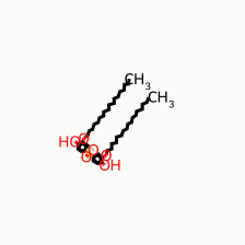 CCCCCCCCCCCCCCCCCCOc1cc(S(=O)(=O)c2ccc(O)c(OCCCCCCCCCCCCCCCCCC)c2)ccc1O